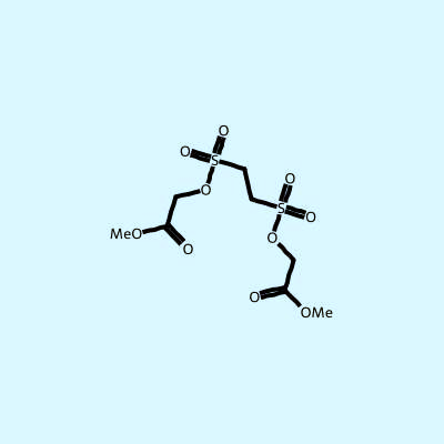 COC(=O)COS(=O)(=O)CCS(=O)(=O)OCC(=O)OC